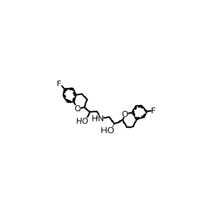 OC(CNC[C@@H](O)C1CCc2cc(F)ccc2O1)C1CCc2cc(F)ccc2O1